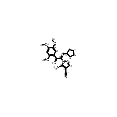 COc1cc(OC)c(C(=O)C(=NC2CCCC2)n2ncc(C#N)c2N)cc1OC